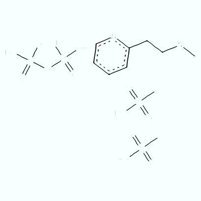 CNCCc1ccccn1.CS(=O)(=O)O.CS(=O)(=O)O.O=P(O)(O)OP(=O)(O)O